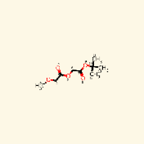 COCC(=O)OCC(=O)OC(C)(C)C